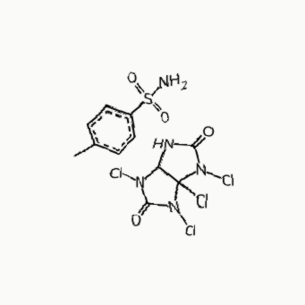 Cc1ccc(S(N)(=O)=O)cc1.O=C1NC2N(Cl)C(=O)N(Cl)C2(Cl)N1Cl